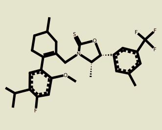 COc1cc(F)c(C(C)C)cc1C1=C(CN2C(=S)O[C@H](c3cc(C)cc(C(F)(F)F)c3)[C@@H]2C)CC(C)CC1